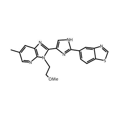 COCCn1c(-c2c[nH]c(-c3ccc4scnc4c3)n2)nc2cc(C)cnc21